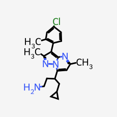 Cc1cc(C(CCN)CC2CC2)n2nc(C)c(-c3ccc(Cl)cc3C)c2n1